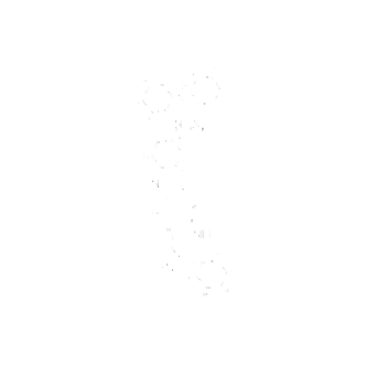 CCCNC(=O)C(NC1CCC(Nc2ccc(NC(=O)c3ccccc3-c3ccccc3)cc2)CC1)c1ccccc1